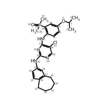 CC(C)Oc1ccc(Nc2nc(Nc3ccc4c(c3)CCCCC4)ncc2Cl)c(P(C)(C)=O)c1